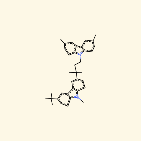 Cc1ccc2c(c1)c1cc(C)ccc1n2CCC(C)(C)c1ccc2c(c1)c1cc(C(C)(C)C)ccc1n2C